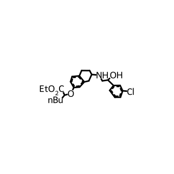 CCCCC(Oc1ccc2c(c1)CC(NCC(O)c1cccc(Cl)c1)CC2)C(=O)OCC